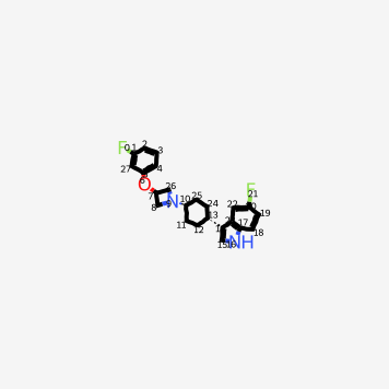 Fc1cccc(OC2CN([C@H]3CC[C@@H](c4c[nH]c5ccc(F)cc54)CC3)C2)c1